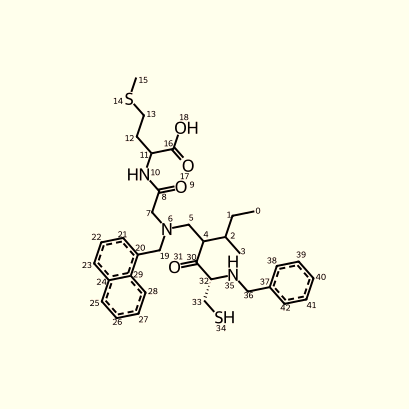 CCC(C)C(CN(CC(=O)NC(CCSC)C(=O)O)Cc1cccc2ccccc12)C(=O)[C@@H](CS)NCc1ccccc1